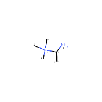 [CH2]C(N)[N+](C)(C)C